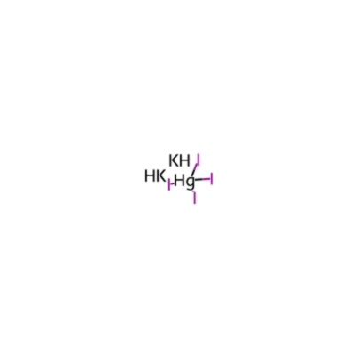 [I][Hg]([I])([I])[I].[KH].[KH]